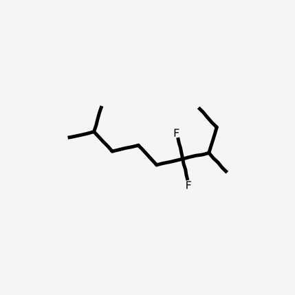 CCC(C)C(F)(F)CCCC(C)C